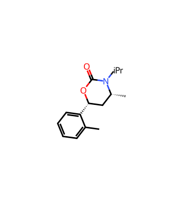 Cc1ccccc1[C@H]1C[C@@H](C)N(C(C)C)C(=O)O1